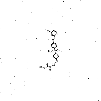 CC(C)(C)OC(=O)N[C@H]1C[C@H](Oc2ccc(C(C)(C)c3ccc(OCc4nccc(Cl)n4)cc3)cc2)C1